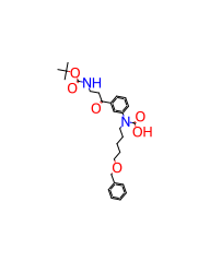 CC(C)(C)OC(=O)NCCC(=O)c1cccc(N(CCCCCOCc2ccccc2)C(=O)O)c1